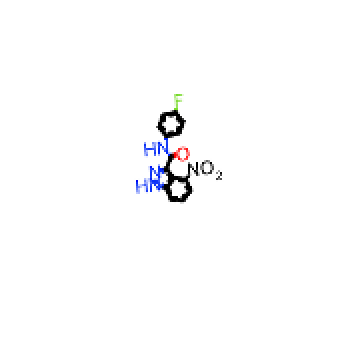 O=C(Nc1ccc(F)cc1)c1n[nH]c2cccc([N+](=O)[O-])c12